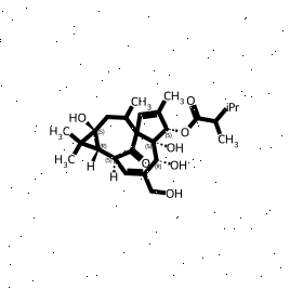 CC1=CC23C(=O)[C@@H](C=C(CO)[C@@H](O)[C@]2(O)[C@H]1OC(=O)C(C)C(C)C)[C@@H]1C(C)(C)[C@]1(O)CC3C